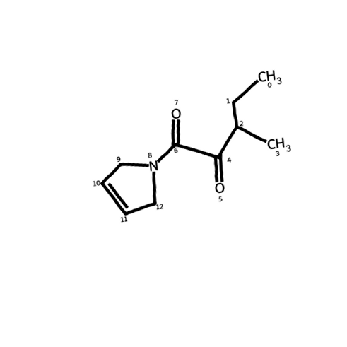 CCC(C)C(=O)C(=O)N1CC=CC1